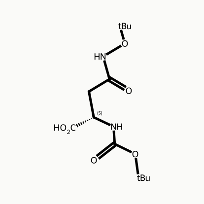 CC(C)(C)ONC(=O)C[C@H](NC(=O)OC(C)(C)C)C(=O)O